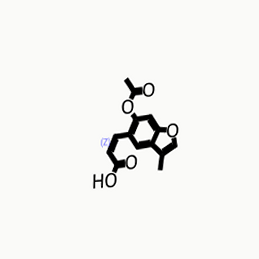 CC(=O)Oc1cc2occ(C)c2cc1/C=C\C(=O)O